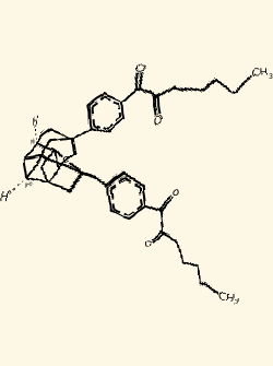 CCCCCC(=O)C(=O)c1ccc(C23CC4C56CC7(c8ccc(C(=O)C(=O)CCCCC)cc8)CC([C@H]5C2)[C@@H](C3)C4(C7)C6)cc1